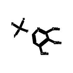 COc1ccnc(OC)c1OC.F[B-](F)(F)F